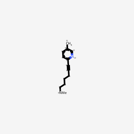 CNCCCCC#Cc1ccc(C)cn1